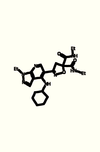 CCNC(=O)C1(C(=O)NCC)CC(c2cnc3c(cnn3CC)c2NC2CCCCC2)=NO1